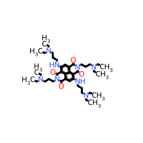 CCN(CC)CCCNc1cc2c3c(c(NCCCN(CC)CC)cc4c3c1C(=O)N(CCCN(CC)CC)C4=O)C(=O)N(CCCN(CC)CC)C2=O